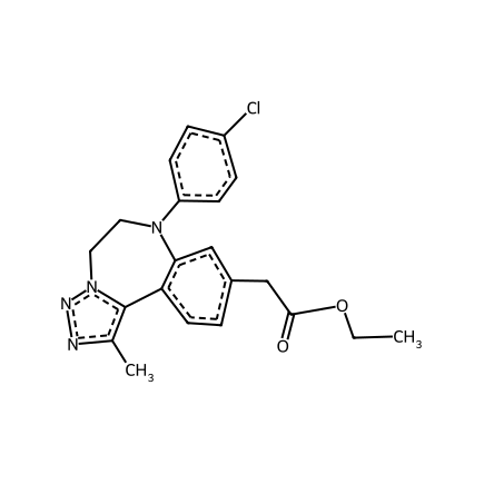 CCOC(=O)Cc1ccc2c(c1)N(c1ccc(Cl)cc1)CCn1nnc(C)c1-2